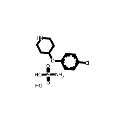 Cl.Clc1ccc(OC2CCNCC2)cc1.NS(=O)(=O)O